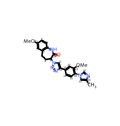 COc1ccc2c(c1)CCC(n1cc(-c3ccc(-n4cnc(C)c4)c(OC)c3)nn1)C(=O)N2